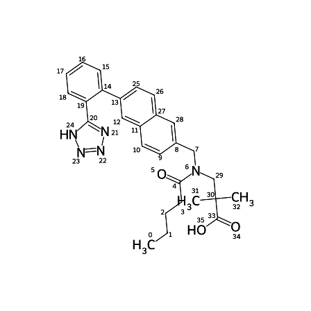 CCCCC(=O)N(Cc1ccc2cc(-c3ccccc3-c3nnn[nH]3)ccc2c1)CC(C)(C)C(=O)O